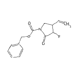 C=CC1CN(C(=O)OCc2ccccc2)C(=O)C1F